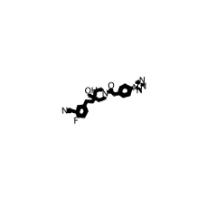 N#Cc1cc(CCC2(CO)CCN(C(=O)Cc3ccc(-n4cnnn4)cc3)CC2)ccc1F